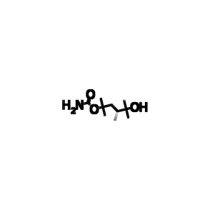 C[C@H](CC(C)(C)OC(N)=O)C(C)(C)O